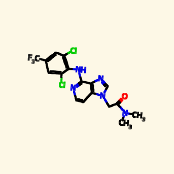 CN(C)C(=O)Cn1cnc2c(Nc3c(Cl)cc(C(F)(F)F)cc3Cl)nccc21